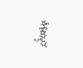 CN(c1ccc(I)cc1)c1ccc2nc(NC(=O)c3ccc[nH]3)sc2c1